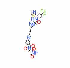 Cc1csc(-c2cc(C(F)(F)F)ccc2NC(=O)C(C)(C)n2cc(C#CC3CN(c4ccc5c(c4)C(=O)N(C4CCC(=O)NC4=O)C5=O)C3)cn2)n1